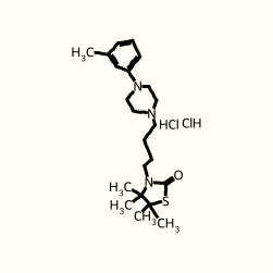 Cc1cccc(N2CCN(CCCCN3C(=O)SC(C)(C)C3(C)C)CC2)c1.Cl.Cl